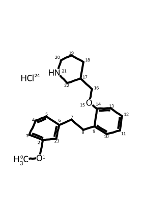 COc1cccc(CCc2ccccc2OCC2CCCNC2)c1.Cl